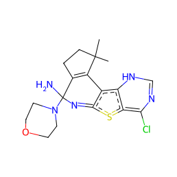 CC1(C)CCC2=C1c1c3c(sc1=NC2(N)N1CCOCC1)=C(Cl)N=CN3